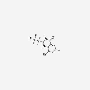 Cc1cc(Br)c2nc(C(C)(C)C(F)(F)F)n(C)c(=O)c2c1